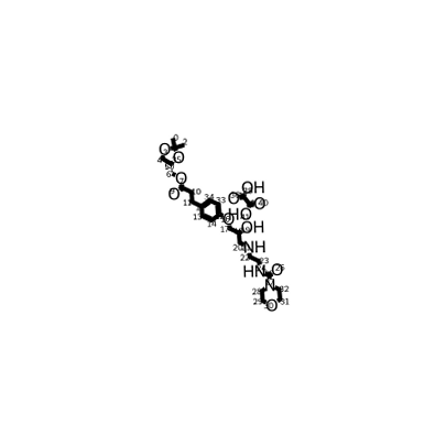 CC1(C)OC[C@@H](COC(=O)CCc2ccc(OCC(O)CNCCNC(=O)N3CCOCC3)cc2)O1.O=C(O)C(=O)O